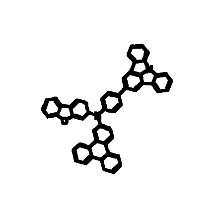 C1=CCC2C(=C1)c1ccc(N(c3ccc(-c4cc5c6ccccc6n6c7ccccc7c(c4)c56)cc3)C3C=c4oc5ccccc5c4=CC3)cc1-c1ccccc12